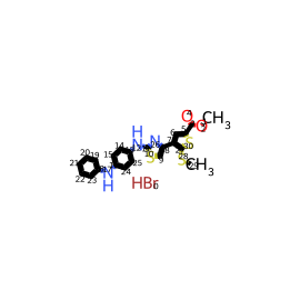 Br.COC(=O)c1cc(-c2csc(Nc3ccc(Nc4ccccc4)cc3)n2)c(SC)s1